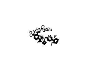 CC(C)(C)OC(=O)NCc1n[nH]c(=O)c2ccc(C3(C(=O)N(Cc4ccc(-c5c(F)cccc5F)cn4)C4CCC4)CC3)cc12